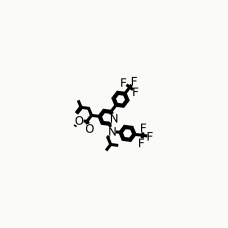 C=C(C)CC(C(=O)OC)c1cc(-c2ccc(C(F)(F)F)cc2)nc(N(CC(C)C)c2ccc(C(F)(F)F)cc2)c1